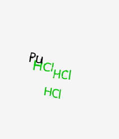 Cl.Cl.Cl.[Pu]